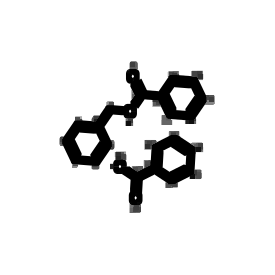 O=C(OCc1ccccc1)c1ccccc1.[O]C(=O)c1ccccc1